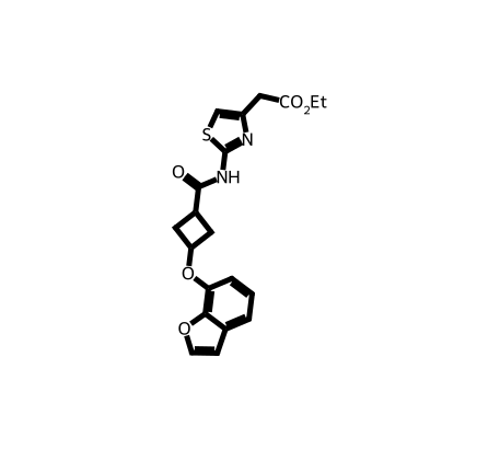 CCOC(=O)Cc1csc(NC(=O)C2CC(Oc3cccc4ccoc34)C2)n1